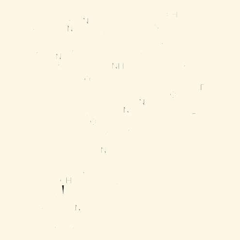 CSc1ccc(OC(F)F)c(-c2nn(CC(=O)N3CCC(CN4CCC[C@H]4C)CC3)cc2NC(=O)c2cnn3cccnc23)c1